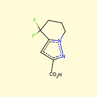 O=C(O)c1cc2n(n1)CCCC2(F)F